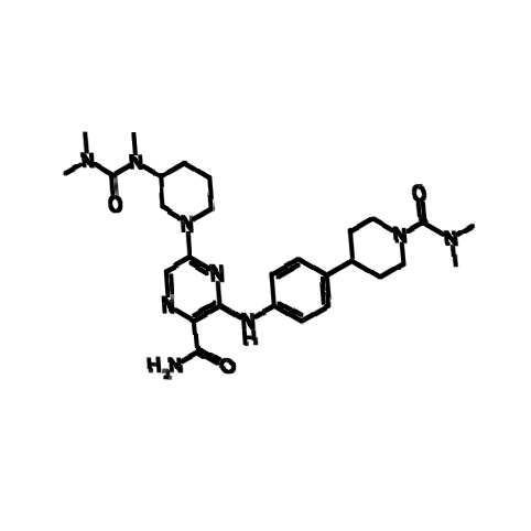 CN(C)C(=O)N1CCC(c2ccc(Nc3nc(N4CCCC(N(C)C(=O)N(C)C)C4)cnc3C(N)=O)cc2)CC1